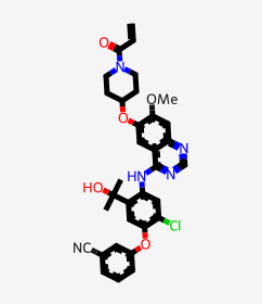 C=CC(=O)N1CCC(Oc2cc3c(Nc4cc(Cl)c(Oc5cccc(C#N)c5)cc4C(C)(C)O)ncnc3cc2OC)CC1